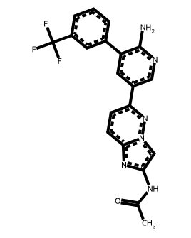 CC(=O)Nc1cn2nc(-c3cnc(N)c(-c4cccc(C(F)(F)F)c4)c3)ccc2n1